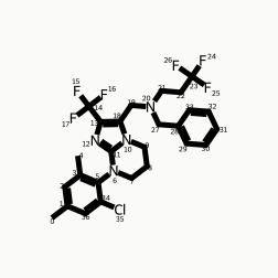 Cc1cc(C)c(N2CCCn3c2nc(C(F)(F)F)c3CN(CCC(F)(F)F)Cc2ccccc2)c(Cl)c1